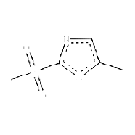 Cc1cnc(S(C)(=O)=O)o1